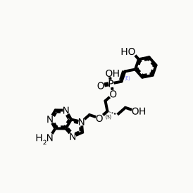 Nc1ncnc2c1ncn2CO[C@@H](CCO)COP(=O)(O)/C=C/c1ccccc1O